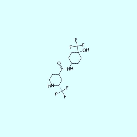 O=C(NC1CCC(O)(C(F)(F)F)CC1)C1CCN[C@@H](C(F)(F)F)C1